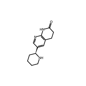 O=C1CCc2cc([C@@H]3CCCCN3)cnc2N1